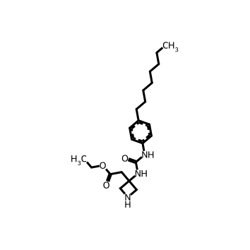 CCCCCCCCc1ccc(NC(=O)NC2(CC(=O)OCC)CNC2)cc1